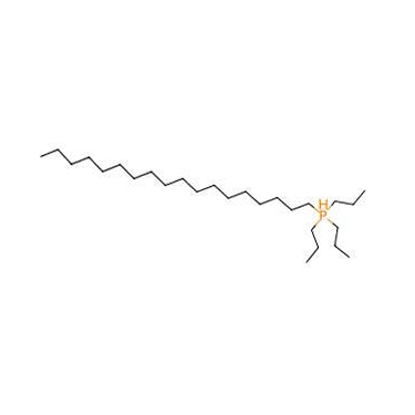 CCCCCCCCCCCCCCCCCC[PH](CCC)(CCC)CCC